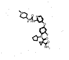 CN1CCC(N(C)C(=O)Nc2cc(Oc3ccc(N(C(=O)C4(C(N)=O)CC4)C4CCCC4)c(F)c3)ccn2)CC1